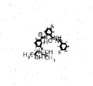 CC(O)CN(Cc1cccc(C(=O)Nc2ccc(F)cc2C(=O)N/N=C/c2cccc(F)c2)c1)CC(C)O